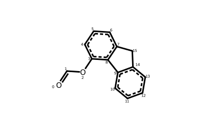 O=COc1cccc2c1-c1ccccc1C2